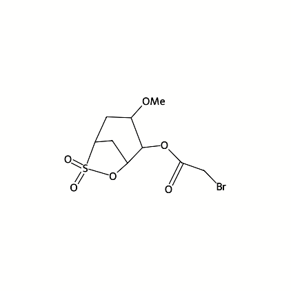 COC1CC2CC(OS2(=O)=O)C1OC(=O)CBr